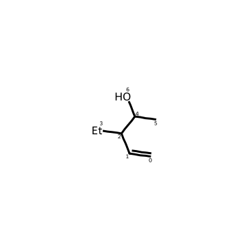 C=CC(CC)C(C)O